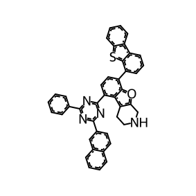 c1ccc(-c2nc(-c3ccc4ccccc4c3)nc(-c3ccc(-c4cccc5c4sc4ccccc45)c4oc5c(c34)CCNC5)n2)cc1